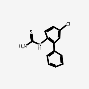 NC(=S)Nc1ccc(Cl)cc1-c1ccccc1